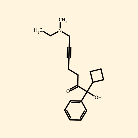 CCN(C)CC#CCCC(=O)C(O)(c1ccccc1)C1CCC1